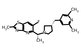 Cc1cc(C[C@@H]2CCN([C@H](C)c3nc4nc(C)sc4cc3F)C2)cc(C)n1